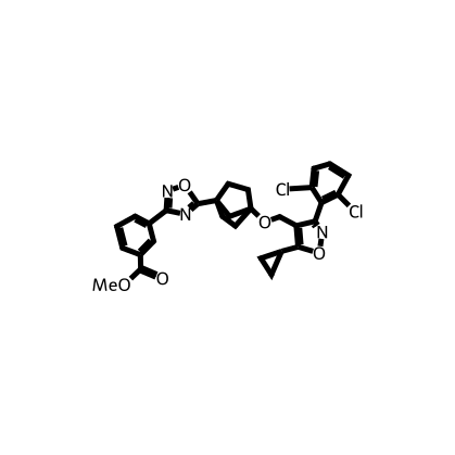 COC(=O)c1cccc(-c2noc(C34CCC(OCc5c(-c6c(Cl)cccc6Cl)noc5C5CC5)(CC3)C4)n2)c1